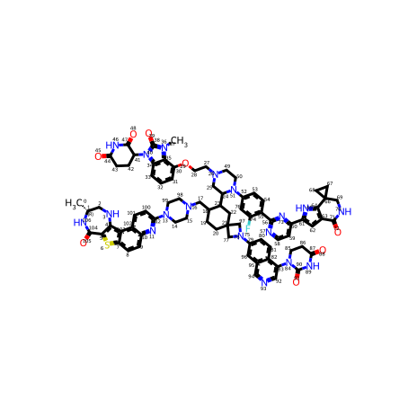 C[C@@H]1CNc2c(sc3ccc4nc(N5CCN(CC6CCC7(CC6C6CN(CCOc8cccc9c8n(C)c(=O)n9C8CCC(=O)NC8=O)CCN6c6ccc(-c8nccc(-c9cc%10c([nH]9)C9(CC9)CNC%10=O)n8)c(F)c6)CN(c6ccc8c(N9CCC(=O)NC9=O)cncc8c6)C7)CC5)ccc4c23)C(=O)N1